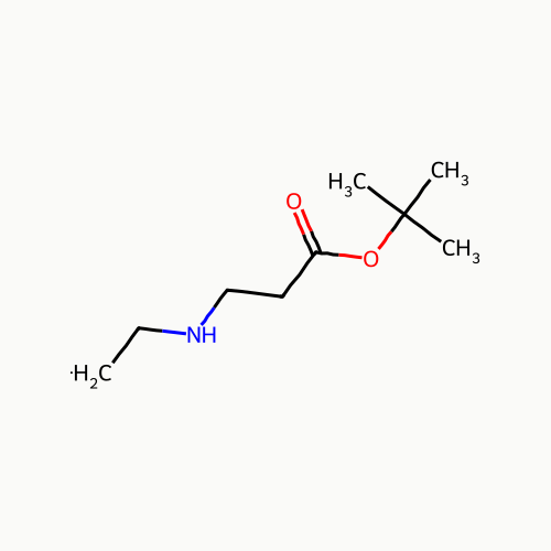 [CH2]CNCCC(=O)OC(C)(C)C